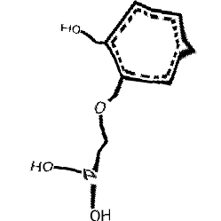 Oc1ccccc1OCP(O)O